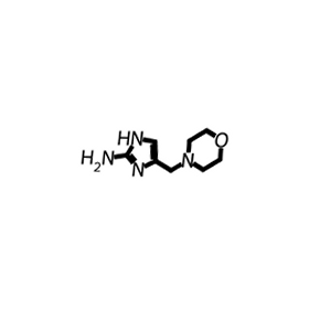 Nc1nc(CN2CCOCC2)c[nH]1